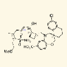 COCC[C@H]([C@@H](C)C/C=C/[C@H](O)[C@@H]1CC[C@H]1CN1C[C@@]2(CCCc3cc(Cl)ccc32)COc2ccc(C(=O)O)cc21)S(N)(=O)=O